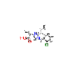 CCCCc1nc(C(CC)C(=O)O)cn1Cc1ccccc1Cl